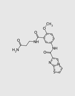 COc1ccc(NC(=O)c2cn3ccsc3n2)cc1C(=O)NCCC(N)=O